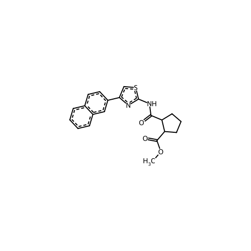 COC(=O)C1CCCC1C(=O)Nc1nc(-c2ccc3ccccc3c2)cs1